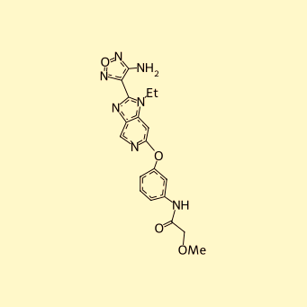 CCn1c(-c2nonc2N)nc2cnc(Oc3cccc(NC(=O)COC)c3)cc21